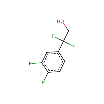 OCC(F)(F)c1ccc(F)c(F)c1